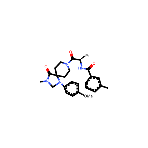 COc1ccc(N2CN(C)C(=O)C23CCN(C(=O)[C@H](NC(=O)c2cccc(C)c2)C(C)C)CC3)cc1